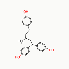 CC(CCc1ccc(O)cc1)CC(c1ccc(O)cc1)c1ccc(O)cc1